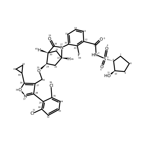 O=C(NS(=O)(=O)[C@@H]1CCC[C@H]1O)c1cccc(N2C(=O)[C@@H]3C[C@H]2C[C@H]3OCc2c(-c3c(Cl)cccc3Cl)noc2C2CC2)c1F